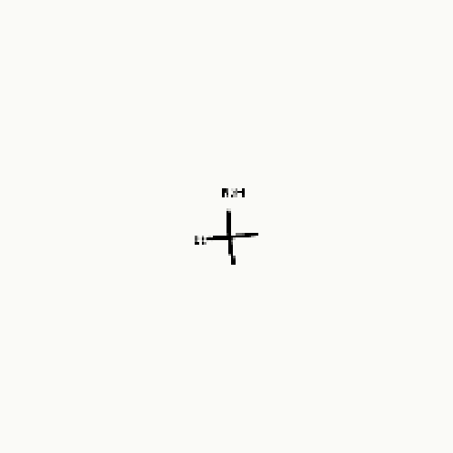 [CH2]CC(C)(C)C.[NaH]